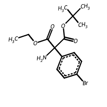 CCOC(=O)C(N)(C(=O)OC(C)(C)C)c1ccc(Br)cc1